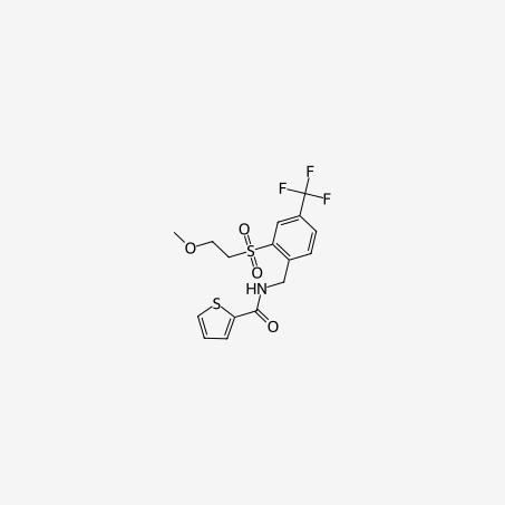 COCCS(=O)(=O)c1cc(C(F)(F)F)ccc1CNC(=O)c1cccs1